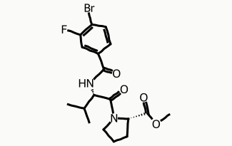 COC(=O)[C@@H]1CCCN1C(=O)[C@@H](NC(=O)c1ccc(Br)c(F)c1)C(C)C